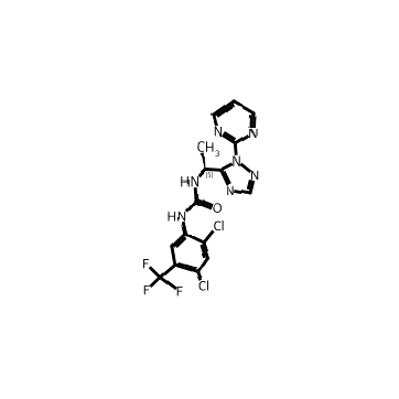 C[C@H](NC(=O)Nc1cc(C(F)(F)F)c(Cl)cc1Cl)c1ncnn1-c1ncccn1